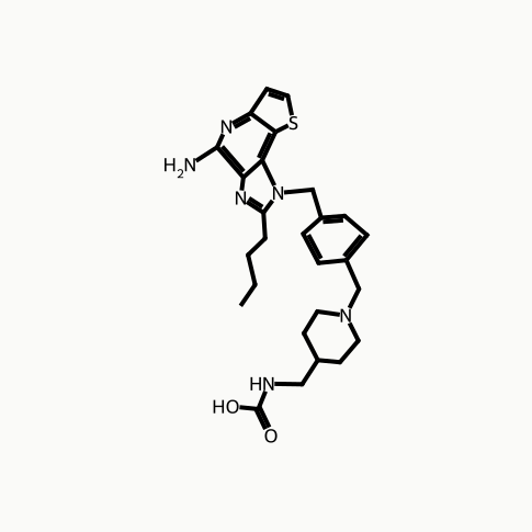 CCCCc1nc2c(N)nc3ccsc3c2n1Cc1ccc(CN2CCC(CNC(=O)O)CC2)cc1